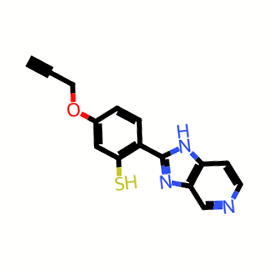 C#CCOc1ccc(-c2nc3cnccc3[nH]2)c(S)c1